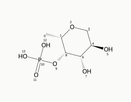 C[C@@H]1O[CH][C@@H](O)[C@H](O)[C@@H]1OP(=O)(O)O